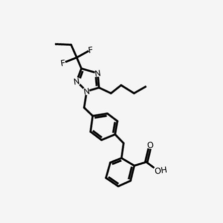 CCCCc1nc(C(F)(F)CC)nn1Cc1ccc(Cc2ccccc2C(=O)O)cc1